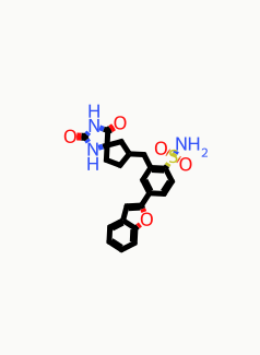 NS(=O)(=O)c1ccc(-c2cc3ccccc3o2)cc1CC1CCC2(C1)NC(=O)NC2=O